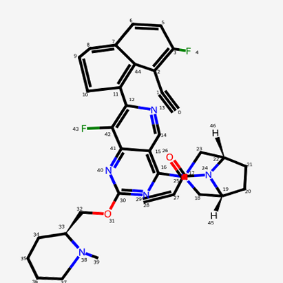 C#Cc1c(F)ccc2cccc(-c3ncc4c(N5C[C@H]6CC[C@@H](C5)N6C(=O)C=C)nc(OC[C@@H]5CCCCN5C)nc4c3F)c12